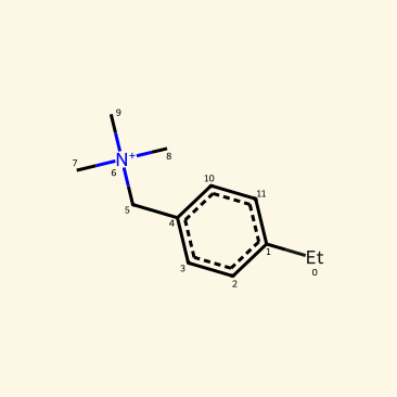 CCc1ccc(C[N+](C)(C)C)cc1